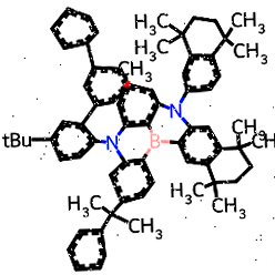 Cc1cc2c3c(c1)N(c1ccc(C(C)(C)C)cc1-c1cccc(-c4ccccc4)c1)c1cc(C(C)(C)c4ccccc4)ccc1B3c1cc3c(cc1N2c1ccc2c(c1)C(C)(C)CCC2(C)C)C(C)(C)CCC3(C)C